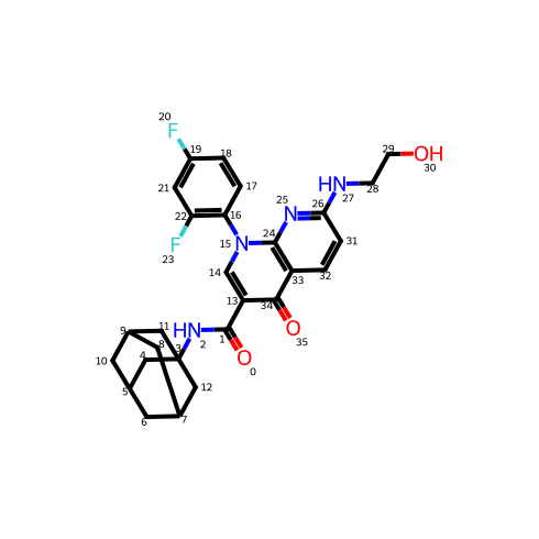 O=C(NC12CC3CC(CC(C3)C1)C2)c1cn(-c2ccc(F)cc2F)c2nc(NCCO)ccc2c1=O